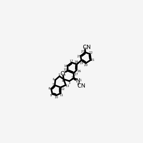 N#CN=C1CC2(CCc3ccccc3C2)Oc2ccc(-c3cccc(C#N)c3)cc21